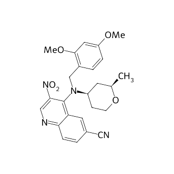 COc1ccc(CN(c2c([N+](=O)[O-])cnc3ccc(C#N)cc23)[C@@H]2CCO[C@H](C)C2)c(OC)c1